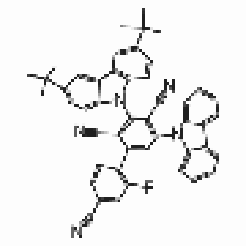 CC(C)(C)c1ccc2c(c1)c1cc(C(C)(C)C)ccc1n2-c1c(C#N)c(-c2ccc(C#N)cc2F)cc(-n2c3ccccc3c3ccccc32)c1C#N